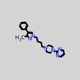 Cc1nn(CCCCN2CCN(c3ncccn3)CC2)cc1-c1ccccc1